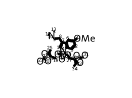 COc1ccc2c(c1)c(CCN(C)C)cn2P(=O)(OCc1oc(=O)oc1C)OCc1oc(=O)oc1C